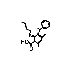 CCCCN=C1C(Oc2ccccc2)=C(C)C=C(C)C1C(=O)O